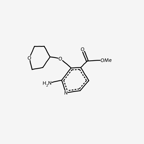 COC(=O)c1ccnc(N)c1OC1CCOCC1